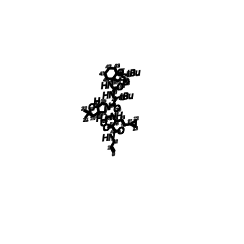 C=CCNC(=O)C(=O)C(CCC1CC1)NC(=O)[C@@H]1[C@H]2CC(C)(C)O[C@H]2CN1C(=O)[C@@H](NC(=O)NC1(CS(=O)(=O)C(C)(C)C)CCCCC1)C(C)(C)C